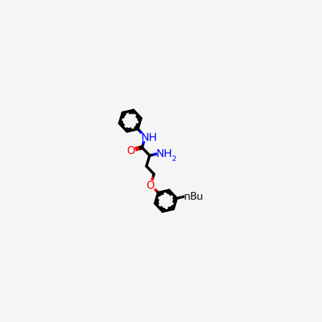 CCCCc1cccc(OCCC(N)C(=O)Nc2ccccc2)c1